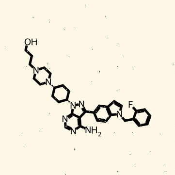 Nc1ncnc2c1c(-c1ccc3c(ccn3Cc3ccccc3F)c1)nn2[C@H]1CC[C@@H](N2CCN(CCCO)CC2)CC1